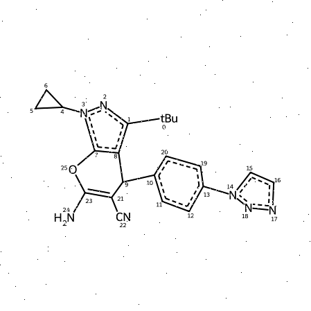 CC(C)(C)c1nn(C2CC2)c2c1C(c1ccc(-n3ccnn3)cc1)C(C#N)=C(N)O2